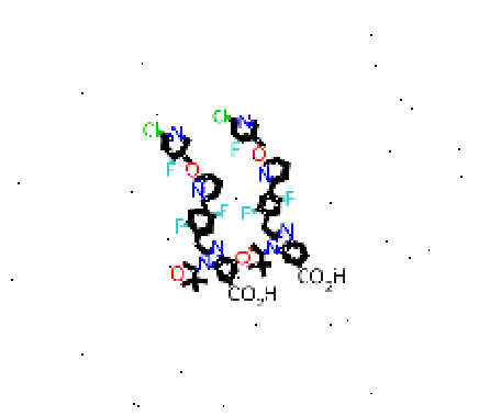 CC1(C)COCC1n1c(Cc2cc(F)c(-c3cccc(OCc4cnc(Cl)cc4F)n3)cc2F)nc2ccc(C(=O)O)cc21.CC1(C)COCC1n1c(Cc2cc(F)c(-c3cccc(OCc4cnc(Cl)cc4F)n3)cc2F)nc2ccc(C(=O)O)cc21